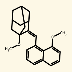 COc1cccc2cccc(C=C3C4CC5CC(C4)CC3(OC)C5)c12